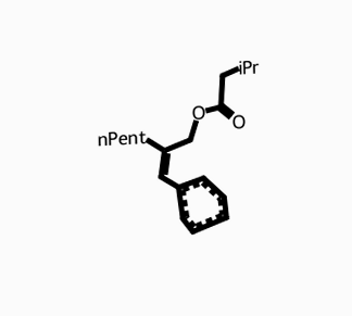 CCCCCC(=Cc1ccccc1)COC(=O)CC(C)C